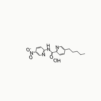 CCCCCc1ccc(C(=O)Nc2ccc([N+](=O)[O-])cn2)nc1.Cl